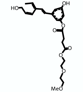 C/C=C(\C=C/CO)/C=C/c1cc(O)cc(OC(=O)CCC(=O)OCCOCCOC)c1